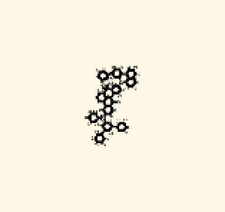 Cc1c2c3c(cccc3c3cc(N(c4ccccc4)c4cc(-c5ccccc5)cc(-c5ccccc5)c4)ccc13)C(C)(C)c1cc(N(c3cccc4ccccc34)c3cccc4c3oc3ccccc34)ccc1-2